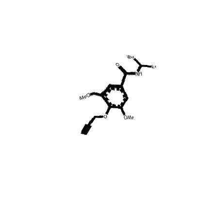 C#CCOc1c(OC)cc(C(=O)NC(CC)C(C)CC)cc1OC